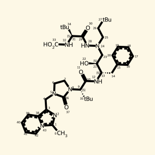 Cc1nc(CN2CCN([C@H](C(=O)N[C@@H](Cc3ccccc3)[C@@H](O)CN(CCC(C)(C)C)NC(=O)[C@@H](NC(=O)O)C(C)(C)C)C(C)(C)C)C2=O)c2ccccn12